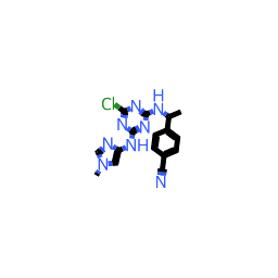 CC(Nc1nc(Cl)nc(Nc2cn(C)cn2)n1)c1ccc(C#N)cc1